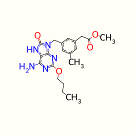 CCCCOc1nc(N)c2[nH]c(=O)n(Cc3cc(C)cc(CC(=O)OC)c3)c2n1